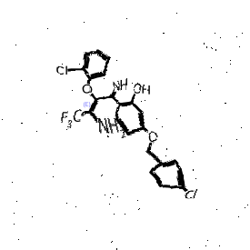 N=C(/C(Oc1ccccc1Cl)=C(\N)C(F)(F)F)c1ccc(OCc2ccc(Cl)cc2)cc1O